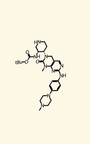 CN1CCN(c2ccc(Nc3ncc4c(n3)N(C)C(=O)N([C@H]3CCNC[C@@H]3NC(=O)OC(C)(C)C)C4)cc2)CC1